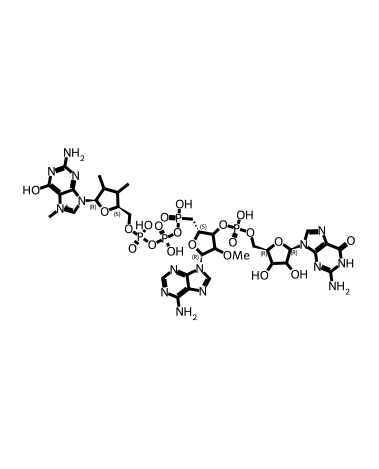 COC1C(OP(=O)(O)OC[C@H]2O[C@@H](n3cnc4c(=O)[nH]c(N)nc43)C(O)C2O)[C@@H](CP(=O)(O)OP(=O)(O)OP(=O)(O)OC[C@H]2O[C@@H](n3c[n+](C)c4c(O)nc(N)nc43)C(C)C2C)O[C@H]1n1cnc2c(N)ncnc21